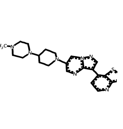 CN1CCN(C2CCN(c3cnc4c(-c5ccnc6ccsc56)cnn4c3)CC2)CC1